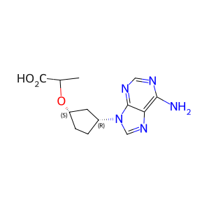 CC(O[C@H]1CC[C@@H](n2cnc3c(N)ncnc32)C1)C(=O)O